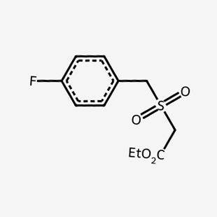 CCOC(=O)CS(=O)(=O)Cc1ccc(F)cc1